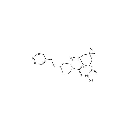 CN1CC2(CC2)C[C@H](C(=O)NO)[C@H]1C(=O)N1CCC(CCc2ccncc2)CC1